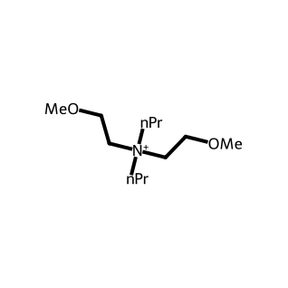 CCC[N+](CCC)(CCOC)CCOC